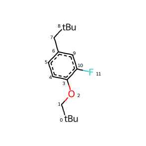 CC(C)(C)COc1ccc(CC(C)(C)C)cc1F